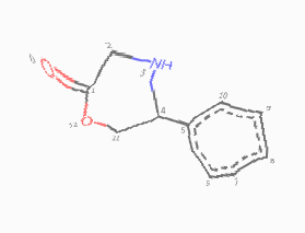 O=C1CNC(c2ccccc2)CO1